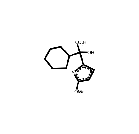 COc1ccc(C(O)(C(=O)O)C2CCCCC2)s1